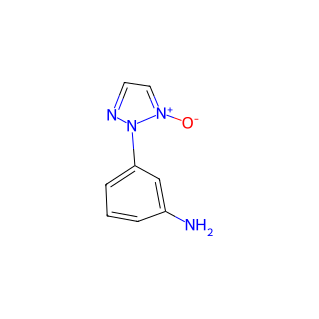 Nc1cccc(-n2ncc[n+]2[O-])c1